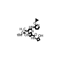 CN(C(=O)OC(C)(C)C)c1cc(Nc2cccnc2OC2CC2)nc2c(C(=O)N[C@@H]3CC[C@H]3O)cnn12